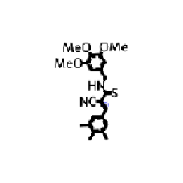 COc1cc(CNC(=S)/C(C#N)=C/c2cc(C)c(C)c(C)c2)cc(OC)c1OC